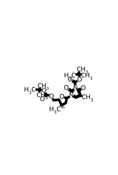 Cc1cn(C2C[C@@H](C)C(COC(=O)OC(C)(C)C)O2)c(=O)n(C(=O)OC(C)(C)C)c1=O